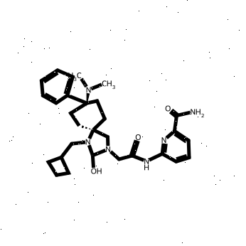 CN(C)[C@]1(c2ccccc2)CC[C@]2(CC1)CN(CC(=O)Nc1cccc(C(N)=O)n1)C(O)N2CC1CCC1